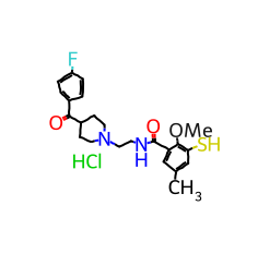 COc1c(S)cc(C)cc1C(=O)NCCN1CCC(C(=O)c2ccc(F)cc2)CC1.Cl